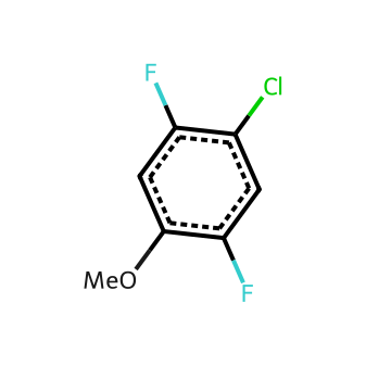 COc1cc(F)c(Cl)cc1F